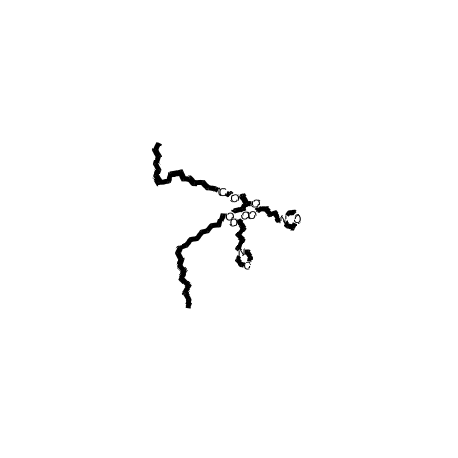 CCCCC/C=C\C/C=C\CCCCCCCCOCC(OC(=O)CCCCN1CCOCC1)C(COCCCCCCCC/C=C\CCCCCCCC)OC(=O)CCCCN1CCOCC1